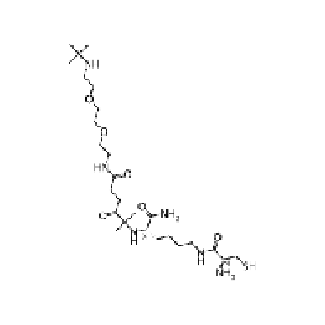 CC(C)(C)NCCOCCOCCNC(=O)CCC(=O)C(C)(C)N[C@@H](CCCCNC(=O)[C@H](N)CS)C(N)=O